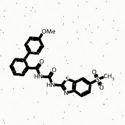 COc1ccc(-c2ccccc2C(=O)NC(=O)Nc2nc3ccc(S(C)(=O)=O)cc3s2)cc1